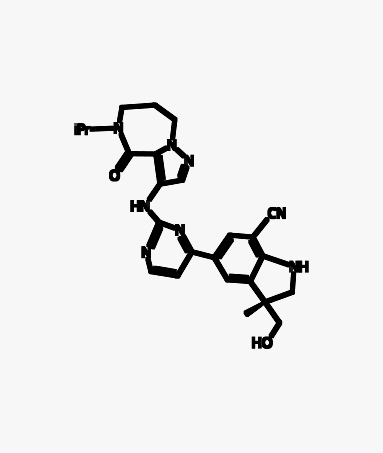 CC(C)N1CCCn2ncc(Nc3nccc(-c4cc(C#N)c5c(c4)[C@@](C)(CO)CN5)n3)c2C1=O